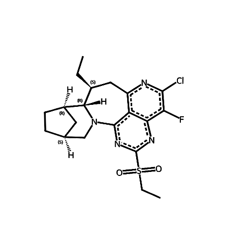 CC[C@H]1Cc2nc(Cl)c(F)c3nc(S(=O)(=O)CC)nc(c23)N2C[C@H]3CC[C@H](C3)[C@H]12